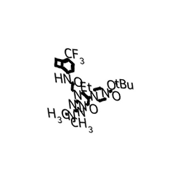 CCc1c(N2CCN(C(=O)OC(C)(C)C)CC2)c(=O)n2nc(N(C)C)nc2n1CC(=O)Nc1ccc(C(F)(F)F)c2c1CC2